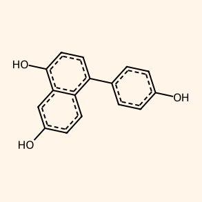 Oc1ccc(-c2ccc(O)c3cc(O)ccc23)cc1